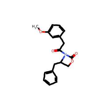 COc1cccc(CC(=O)N2C(=O)OCC2Cc2ccccc2)c1